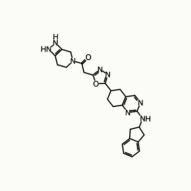 O=C(Cc1nnc(C2CCc3nc(NC4Cc5ccccc5C4)ncc3C2)o1)N1CCc2[nH][nH]c2C1